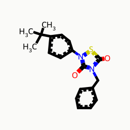 CC(C)(C)c1ccc(-n2sc(=O)n(Cc3ccccc3)c2=O)cc1